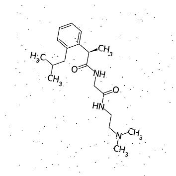 CC(C)Cc1ccccc1[C@@H](C)C(=O)NCC(=O)NCCN(C)C